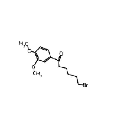 COc1ccc(C(=O)CCCCCBr)cc1OC